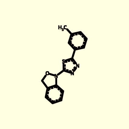 Cc1cccc(-c2nnc(N3OCc4ccccc43)s2)c1